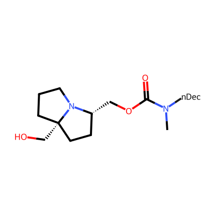 CCCCCCCCCCN(C)C(=O)OC[C@@H]1CC[C@@]2(CO)CCCN12